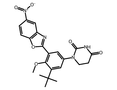 COc1c(-c2nc3cc([N+](=O)[O-])ccc3o2)cc(N2CCC(=O)NC2=O)cc1C(C)(C)C